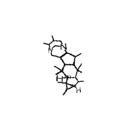 CC1CN2CN(CC3C2C(C)C2C3C(C)(C)[C@@H]3C(C(C)[C@@H]4C(C)C43C)C2(C)C)C1C